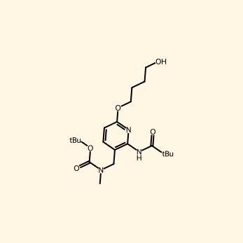 CN(Cc1ccc(OCCCCO)nc1NC(=O)C(C)(C)C)C(=O)OC(C)(C)C